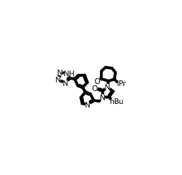 CCCCc1cn(C2C(=O)CCCCC2C(C)C)c(=O)n1Cc1cc(-c2cccc(-c3nnn[nH]3)c2)ccn1